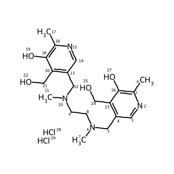 Cc1ncc(CN(C)CCN(C)Cc2cnc(C)c(O)c2CO)c(CO)c1O.Cl.Cl